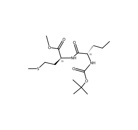 CCC[C@H](NC(=O)OC(C)(C)C)C(=O)N[C@@H](CCSC)C(=O)OC